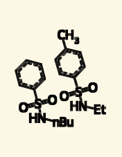 CCCCNS(=O)(=O)c1ccccc1.CCNS(=O)(=O)c1ccc(C)cc1